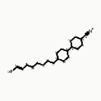 N#CC1CCC(C2CCC(CCCCCC/C=C/F)CC2)CC1